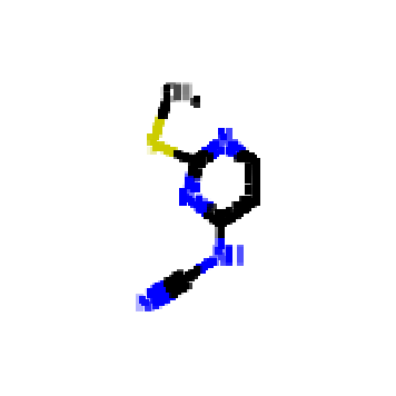 CSc1nccc(NC#N)n1